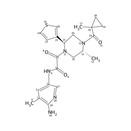 Cc1cc(NC(=O)C(=O)N2C[C@@H](C)N(C(=O)C3(C)CC3)C[C@@H]2c2ccsc2)cnc1N